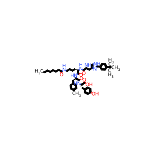 CCCCCCCC(=O)NCCCC[C@H](NC(=O)[C@@H](N)Cc1c[nH]c(-c2ccc(C(C)(C)C)cc2)n1)C(=O)N[C@H](Cc1ccc(C)cc1)C(=O)N[C@@H](Cc1ccc(O)cc1)C(=O)O